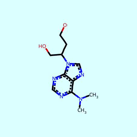 CN(C)c1ncnc2c1ncn2C(CO)CC[O]